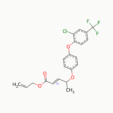 C=CCOC(=O)/C=C/C(C)Oc1ccc(Oc2ccc(C(F)(F)F)cc2Cl)cc1